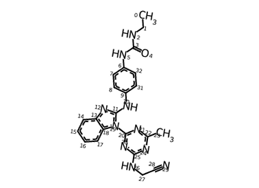 CCNC(=O)Nc1ccc(Nc2nc3ccccc3n2-c2nc(C)nc(NCC#N)n2)cc1